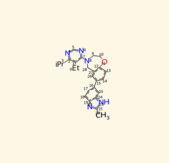 CCc1c(C(C)C)ncnc1N1CCOc2ccc(-c3ccc4nc(C)[nH]c4c3)cc2C1